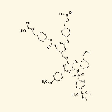 COc1ccc(-c2nc(NS(=O)(=O)c3ccc(C(C)(C)C)cn3)c(Oc3ccccc3OC)c(OCC(COC(=O)Oc3ccc(CON(O)O)cc3)OC(=O)Oc3ccc(CON(O)O)cc3)n2)cc1